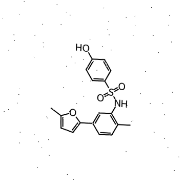 Cc1ccc(-c2ccc(C)c(NS(=O)(=O)c3ccc(O)cc3)c2)o1